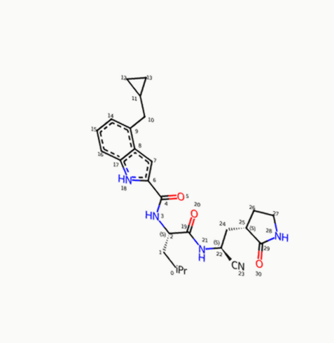 CC(C)C[C@H](NC(=O)c1cc2c(CC3CC3)cccc2[nH]1)C(=O)N[C@H](C#N)C[C@@H]1CCNC1=O